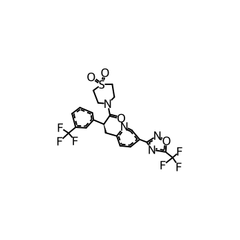 O=C([C@@H](Cc1ccc(-c2noc(C(F)(F)F)n2)cn1)c1cccc(C(F)(F)F)c1)N1CCS(=O)(=O)CC1